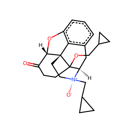 O=C1CCC2(OCC3CC3)[C@H]3Cc4cccc5c4[C@@]2(CC[N@+]3([O-])CC2CC2)[C@H]1O5